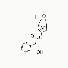 C[N+]1(C)C2CC(OC(=O)[C@H](CO)c3ccccc3)CC1[C@H]1OC21